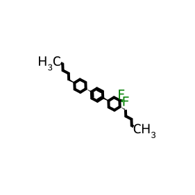 CCCCC[C@@H]1CC[C@@H](c2ccc([C@H]3CC[C@H](CCCCC)CC3)cc2)CC1(F)F